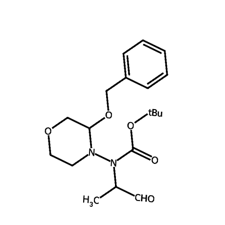 CC(C=O)N(C(=O)OC(C)(C)C)N1CCOCC1OCc1ccccc1